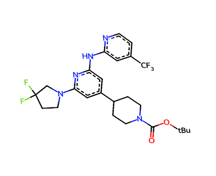 CC(C)(C)OC(=O)N1CCC(c2cc(Nc3cc(C(F)(F)F)ccn3)nc(N3CCC(F)(F)C3)c2)CC1